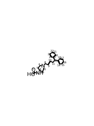 O=C(O)NC1CCN(CC=CCC(c2ccccc2)c2ccccc2)CC1